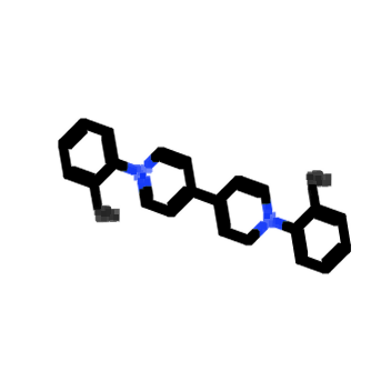 CC(C)(C)c1ccccc1N1C=CC(c2cc[n+](-c3ccccc3C(C)(C)C)cc2)=CC1